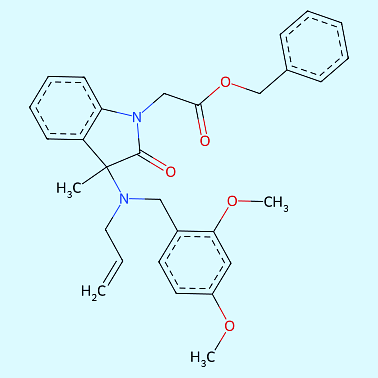 C=CCN(Cc1ccc(OC)cc1OC)C1(C)C(=O)N(CC(=O)OCc2ccccc2)c2ccccc21